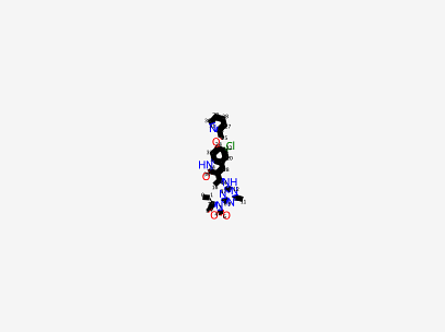 CC[C@H]1COC(=O)N1c1nc(C)nc(NC(C)c2cc3cc(Cl)c(OCc4ccccn4)cc3[nH]c2=O)n1